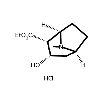 CCOC(=O)[C@@H]1[C@H]2CC[C@@H](C[C@@H]1O)N2C.Cl